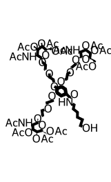 CC(=O)N[C@H]1[C@H](OCCOCCOc2cc(C(=O)NCCCCCCO)cc(OCCOCCO[C@@H]3O[C@H](COC(C)=O)[C@H](OC(C)=O)[C@H](OC(C)=O)[C@H]3NC(C)=O)c2OCCOCCO[C@@H]2O[C@H](COC(C)=O)[C@H](OC(C)=O)[C@H](OC(C)=O)[C@H]2NC(C)=O)O[C@H](COC(C)=O)[C@H](OC(C)=O)[C@@H]1OC(C)=O